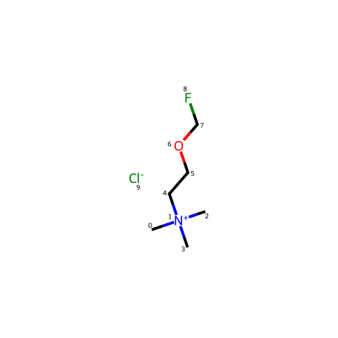 C[N+](C)(C)CCOCF.[Cl-]